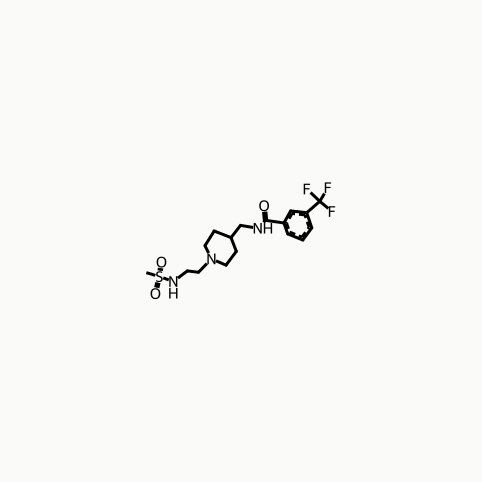 CS(=O)(=O)NCCN1CCC(CNC(=O)c2cccc(C(F)(F)F)c2)CC1